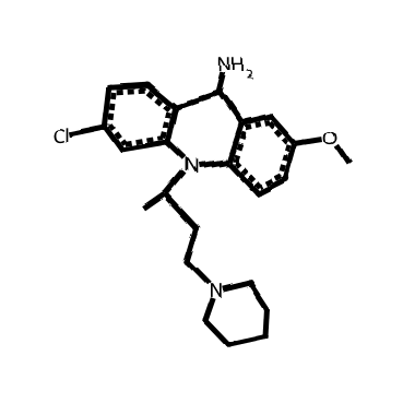 COc1ccc2c(c1)C(N)c1ccc(Cl)cc1N2C(C)CCN1CCCCC1